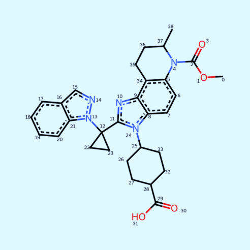 COC(=O)N1c2ccc3c(nc(C4(n5ncc6ccccc65)CC4)n3C3CCC(C(=O)O)CC3)c2CCC1C